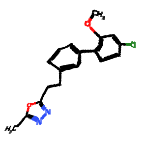 COc1cc(Cl)ccc1-c1cccc([CH]Cc2nnc(C)o2)c1